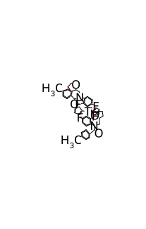 Cc1ccc(C(=O)N(CC2CCCO2)c2ccc(F)[c]([Ti]([C]3=CC=CC3)([C]3=CC=CC3)[c]3c(F)ccc(N(CC4CCCO4)C(=O)c4ccc(C)cc4)c3F)c2F)cc1